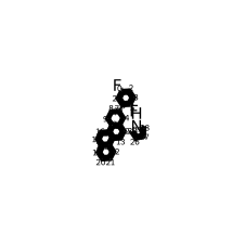 Fc1ccc(F)c([C@@H]2CCc3c(ccc4c3ccc3ccccc34)C2)c1.c1cc[nH]c1